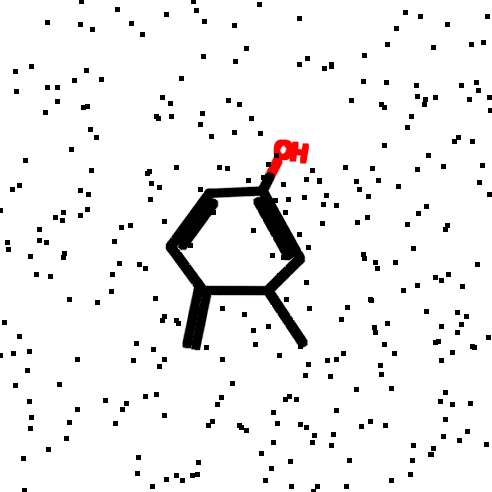 C=C1C=CC(O)=CC1C